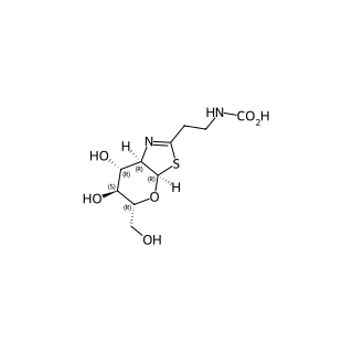 O=C(O)NCCC1=N[C@@H]2[C@@H](O)[C@H](O)[C@@H](CO)O[C@@H]2S1